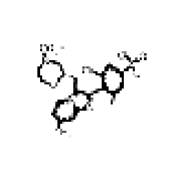 Cc1ccn2c(C[C@H]3CN(C(=O)O)CCO3)c(-c3c(F)cc(S(=O)(=O)Cl)cc3Cl)nc2c1